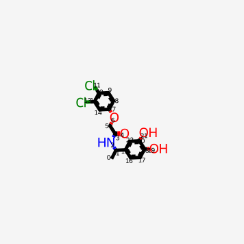 CC(NC(=O)COc1ccc(Cl)c(Cl)c1)c1ccc(O)c(O)c1